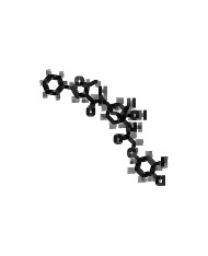 Cc1oc(-c2ccccc2)cc1C(=O)NC12CCC(NC(=O)COc3ccc(Cl)c(F)c3)(CC1)[C@@H](O)C2